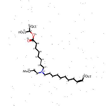 CCCCCCCC/C=C\CCCCCCCCN(CCCCCCCC(=O)OC(CCCCCCCC)CCCCCCCC)CCOC